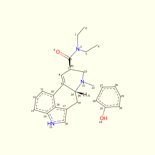 CCN(CC)C(=O)[C@@H]1C=C2c3cccc4[nH]cc(c34)C[C@H]2N(C)C1.Oc1c[c]ccc1